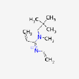 C=C/N=C(/C=C)N(C)CC(C)(C)C